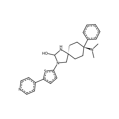 CN(C)[C@]1(c2ccccc2)CC[C@]2(CC1)CN(c1ccc(-c3ccncc3)s1)C(O)N2